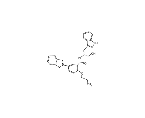 CCCOc1ccc(-c2cc3ccccc3s2)cc1C(=O)N[C@@H](CO)Cc1c[nH]c2ccccc12